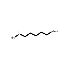 CCCCCCCCCCPCCCC